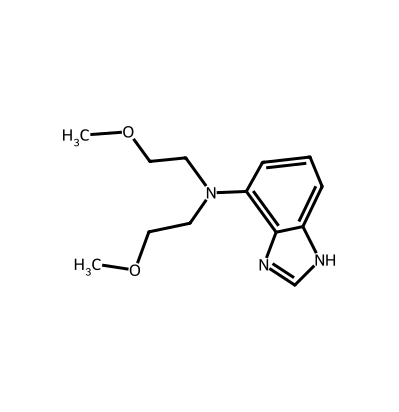 COCCN(CCOC)c1cccc2[nH]cnc12